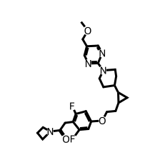 COCc1cnc(N2CCC(C3CC3CCOc3cc(F)c(CC(=O)N4CCC4)c(F)c3)CC2)nc1